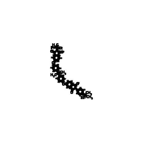 CCC(C)(C)c1ccc(N2C(=O)c3ccc(Oc4ccc(C(C)(C)c5ccc(Oc6ccc7c(c6)C(=O)N(C(C)(CC)C(C)C)C7=O)cc5)cc4)cc3C2=O)cc1